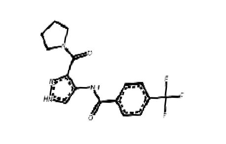 O=C(Nc1c[nH]nc1C(=O)N1CCCC1)c1ccc(C(F)(F)F)cc1